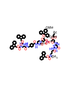 CCCOP(OC[C@H]1O[C@@H](n2cnc3c(=O)[nH]c(NC(=O)CCCN(C)C(=O)OCC4c5ccccc5-c5ccccc54)nc32)CC1OC(=O)CCC(C)=O)OC1C[C@H](n2ccc(NC(=O)c3ccc(CNC(=O)C(CNC(=O)OCC4c5ccccc5-c5ccccc54)NC(=O)OCC4c5ccccc5-c5ccccc54)cc3)nc2=O)O[C@@H]1COC(c1ccccc1)(c1ccc(OC)cc1)c1ccc(OC)cc1